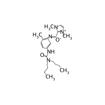 CCCCN(CCCC)C(=O)Nc1ccc(C)c(/N=C(\[O-])c2n(C)cc[n+]2C)c1